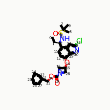 CC[C@@H](N[S@@+]([O-])C(C)(C)C)c1ccc(OC2CN(C(=O)OCc3ccccc3)C2)c2cnc(Cl)cc12